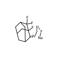 CCCC.FC12CC3CC(CC(C3)C1(F)F)C2.[F][Na]